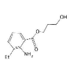 CCc1cccc(C(=O)OCCCO)c1N